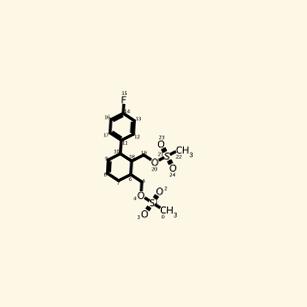 CS(=O)(=O)OCC1CC=CC(c2ccc(F)cc2)C1COS(C)(=O)=O